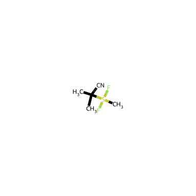 CC(C)(C#N)S(C)(F)F